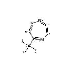 CC(C)(C)C1=NC=C=NC=C1